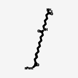 CCCCCC1OC1CC=CCCCCCCCC(=O)NCCCCCC(N)=O